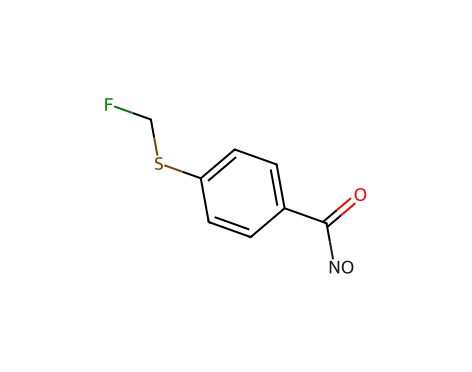 O=NC(=O)c1ccc(SCF)cc1